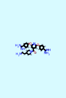 N=C(N)c1ccc(Oc2cc(C(=O)N3CCC(CCN)CC3)cc(Oc3ccc(C(=N)N)cc3)n2)cc1